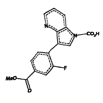 COC(=O)c1ccc(-c2cn(C(=O)O)c3cccnc23)c(F)c1